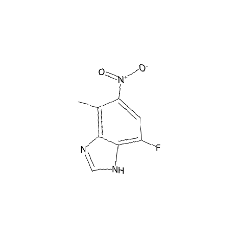 Cc1c([N+](=O)[O-])cc(F)c2[nH]cnc12